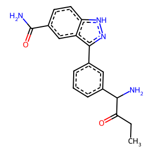 CCC(=O)C(N)c1cccc(-c2n[nH]c3ccc(C(N)=O)cc23)c1